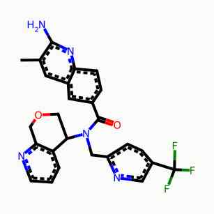 Cc1cc2cc(C(=O)N(Cc3ccc(C(F)(F)F)cn3)C3COCc4ncccc43)ccc2nc1N